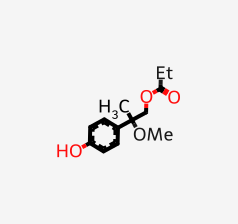 CCC(=O)OCC(C)(OC)c1ccc(O)cc1